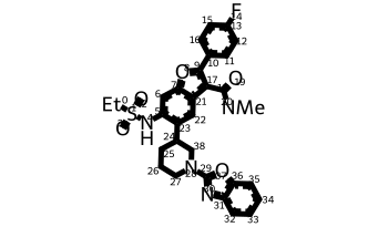 CCS(=O)(=O)Nc1cc2oc(-c3ccc(F)cc3)c(C(=O)NC)c2cc1C1CCCN(c2nc3ccccc3o2)C1